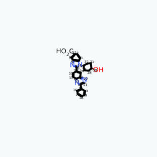 O=C(O)c1ccc2c(c1)nc(-c1ccc3nc(-c4ccccc4)cnc3c1)n2[C@H]1CC[C@H](O)CC1